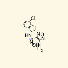 Nc1nonc1/C(=N\O)NC1CCc2c(Cl)cccc21